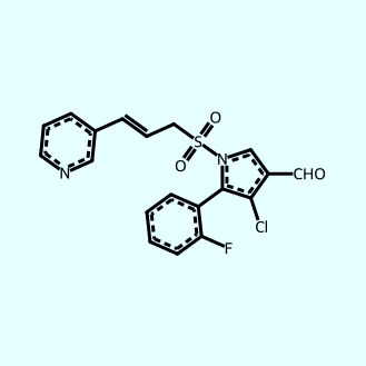 O=Cc1cn(S(=O)(=O)CC=Cc2cccnc2)c(-c2ccccc2F)c1Cl